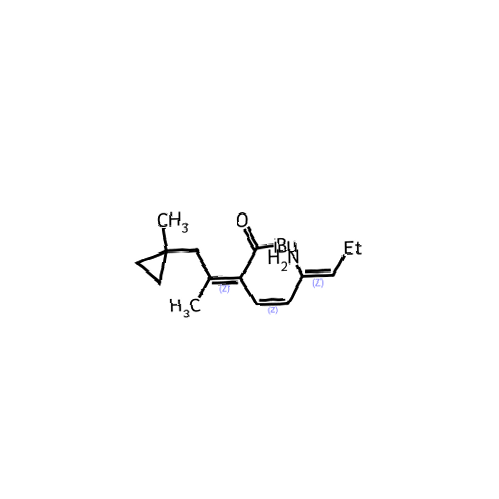 CC/C=C(N)/C=C\C(C(=O)C(C)CC)=C(/C)CC1(C)CC1